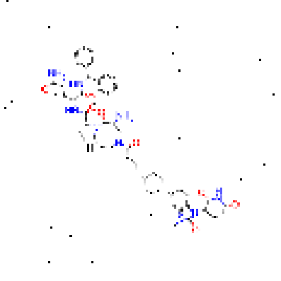 Cn1c(=O)n(C2CCC(=O)NC2=O)c2ccc([C@H]3CC[C@@H](CCCC(=O)N4CC[C@H]5CC[C@@H](C(=O)N[C@@H](CCC(N)=O)C(=O)NC(c6ccccc6)c6ccccc6)N5C(=O)[C@@H](N)C4)CC3)cc21